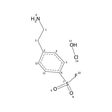 NCCc1ccc(S(=O)(=O)F)cc1.OCl